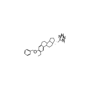 CCc1cc2c(cc1OCc1ccccc1)CCC1C2CC[C@@]2(C)C1CC[C@@H]2Cc1nnnn1C